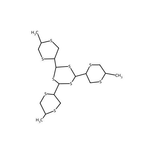 CC1CSC(C2SC(C3CSC(C)CS3)SC(C3CSC(C)CS3)S2)CS1